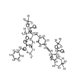 CC(C)CN(C[C@H]1OC(C)(C)N(C(=O)OC(C)(C)C)[C@H]1Cc1ccc(C#Cc2sc3c(c2C(=O)OC(C)(C)C)CC(C)(C)CC3)cc1)C(=O)OCc1ccccc1